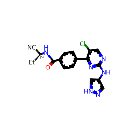 CC[C@@H](C#N)NC(=O)c1ccc(-c2nc(Nc3cn[nH]c3)ncc2Cl)cc1